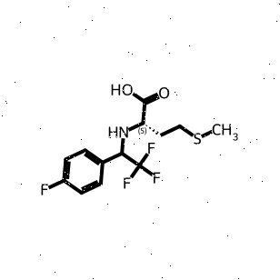 CSCC[C@H](NC(c1ccc(F)cc1)C(F)(F)F)C(=O)O